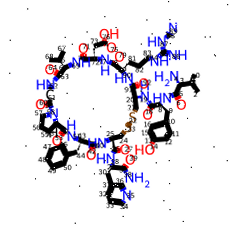 CC(C)[C@H](N)C(=O)N[C@@H](Cc1ccc(O)cc1)C(=O)N[C@H]1CSSC[C@@H](C(=O)N[C@@H](Cc2cccnc2)C(N)=O)NC(=O)[C@H](Cc2ccccc2)NC(=O)[C@@H]2CCCN2C(=O)CNC(=O)[C@H](C(C)C)NC(=O)[C@H](CC(=O)O)NC(=O)[C@H](CCCNC(=N)NC#N)NC1=O